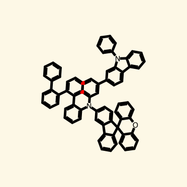 c1ccc(-c2ccccc2-c2ccccc2-c2ccccc2N(c2cccc(-c3ccc4c5ccccc5n(-c5ccccc5)c4c3)c2)c2ccc3c(c2)-c2ccccc2C32c3ccccc3Oc3ccccc32)cc1